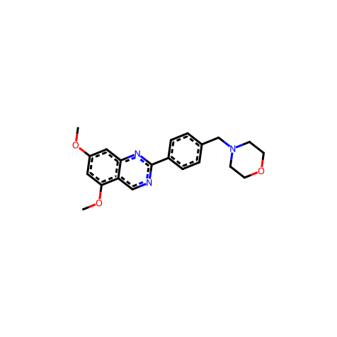 COc1cc(OC)c2cnc(-c3ccc(CN4CCOCC4)cc3)nc2c1